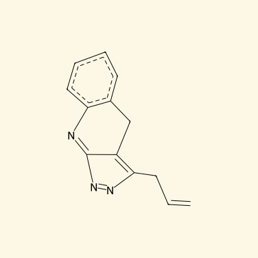 C=CCC1=C2Cc3ccccc3N=C2N=N1